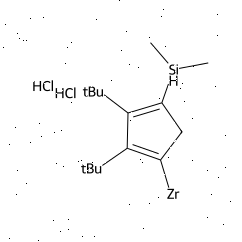 C[SiH](C)C1=C(C(C)(C)C)C(C(C)(C)C)=[C]([Zr])C1.Cl.Cl